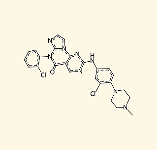 CN1CCN(c2ccc(Nc3ncc4c(=O)n(-c5ccccc5Cl)c5nccn5c4n3)cc2Cl)CC1